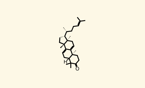 CC(C)=CCC[C@@H](C)[C@H]1CC[C@@]2(C)C3=CC[C@H]4C(C)(C)C(=O)CC[C@]4(C)C3=CC[C@]12C